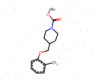 CCCCOC(=O)N1CCC(COc2ccccc2C(F)(F)F)CC1